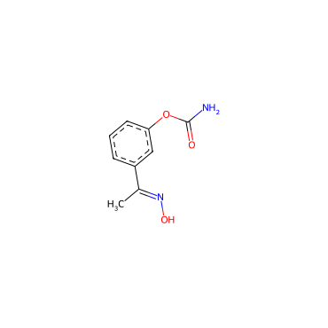 CC(=NO)c1cccc(OC(N)=O)c1